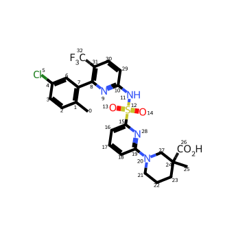 Cc1ccc(Cl)cc1-c1nc(NS(=O)(=O)c2cccc(N3CCCC(C)(C(=O)O)C3)n2)ccc1C(F)(F)F